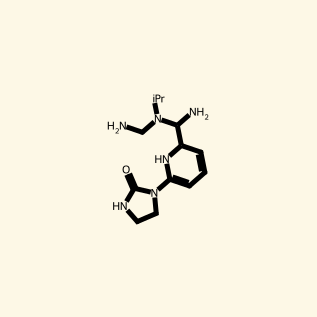 CC(C)N(CN)C(N)C1C=CC=C(N2CCNC2=O)N1